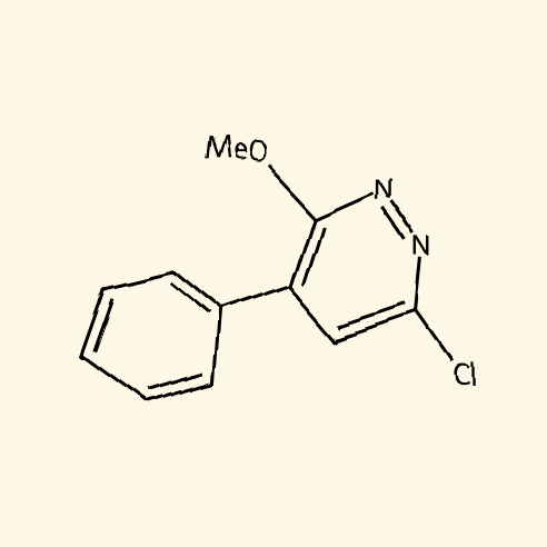 COc1nnc(Cl)cc1-c1ccccc1